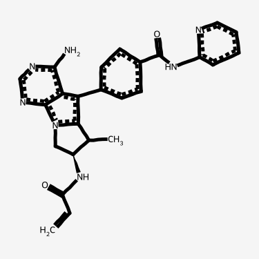 C=CC(=O)N[C@H]1Cn2c(c(-c3ccc(C(=O)Nc4ccccn4)cc3)c3c(N)ncnc32)C1C